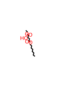 CCCCCCCCOC(=O)CC(O)C(=O)OCC